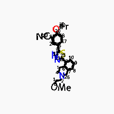 COCCN1CCc2c(cccc2-c2nnc(-c3ccc(OC(C)C)c(C#N)c3)s2)C1